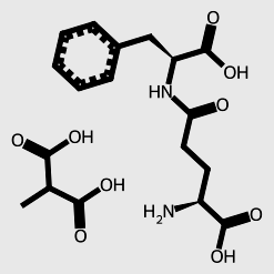 CC(C(=O)O)C(=O)O.N[C@@H](CCC(=O)N[C@@H](Cc1ccccc1)C(=O)O)C(=O)O